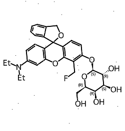 CCN(CC)c1ccc2c(c1)Oc1c(ccc(O[C@@H]3O[C@H](CO)[C@H](O)[C@H](O)[C@H]3O)c1CF)C21OCc2ccccc21